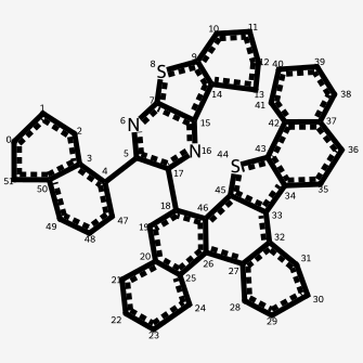 c1ccc2c(-c3nc4sc5ccccc5c4nc3-c3cc4ccccc4c4c5ccccc5c5c6ccc7ccccc7c6sc5c34)cccc2c1